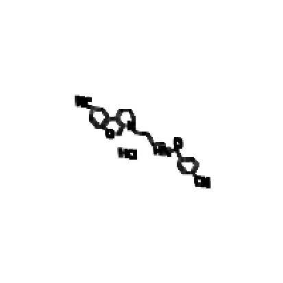 Cl.N#Cc1ccc(C(=O)NCCCCN2CCCC3c4cc(C#N)ccc4OCC32)cc1